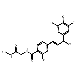 CC(C)(C)NC(=O)CNC(=O)c1ccc(/C=C/C(c2cc(Cl)c(Cl)c(Cl)c2)C(F)(F)F)cc1Br